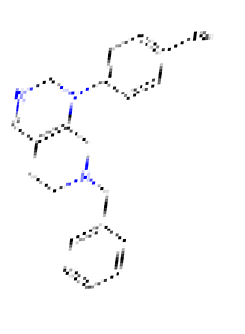 CC(C)(C)c1ccc(N2CN=CC3=C2CN(Cc2ccccc2)CC3)cc1